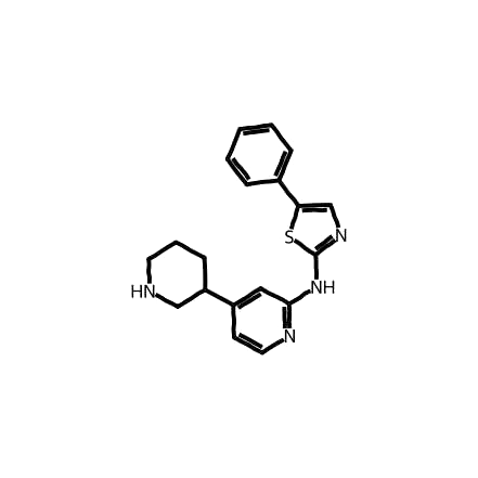 c1ccc(-c2cnc(Nc3cc(C4CCCNC4)ccn3)s2)cc1